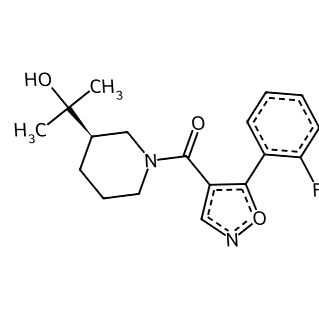 CC(C)(O)[C@@H]1CCCN(C(=O)c2cnoc2-c2ccccc2F)C1